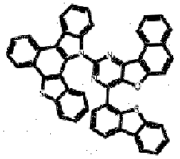 c1ccc2c(c1)ccc1oc3c(-c4cccc5c4sc4ccccc45)nc(-n4c5ccccc5c5c6ccccc6c6sc7ccccc7c6c54)nc3c12